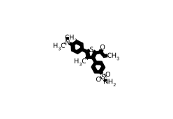 CCC(=O)c1sc(-c2ccc(N(C)C)cc2)c(C)c1-c1ccc(S(N)(=O)=O)cc1